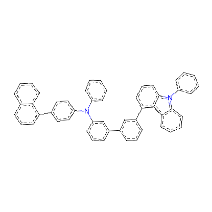 c1ccc(N(c2ccc(-c3cccc4ccccc34)cc2)c2cccc(-c3cccc(-c4cccc5c4c4ccccc4n5-c4ccccc4)c3)c2)cc1